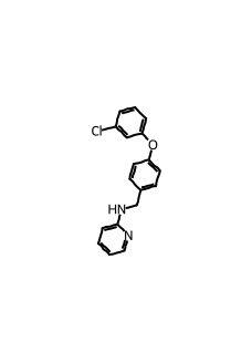 Clc1cccc(Oc2ccc(CNc3ccccn3)cc2)c1